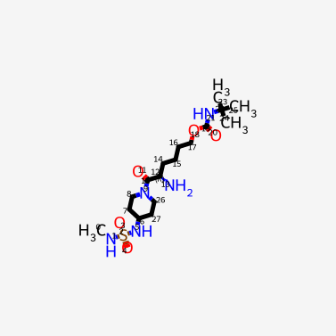 CNS(=O)(=O)NC1CCN(C(=O)[C@H](N)CCCCOC(=O)NC(C)(C)C)CC1